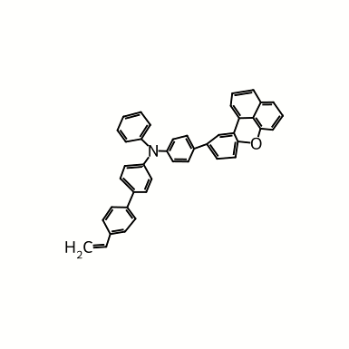 C=Cc1ccc(-c2ccc(N(c3ccccc3)c3ccc(-c4ccc5c(c4)-c4cccc6cccc(c46)O5)cc3)cc2)cc1